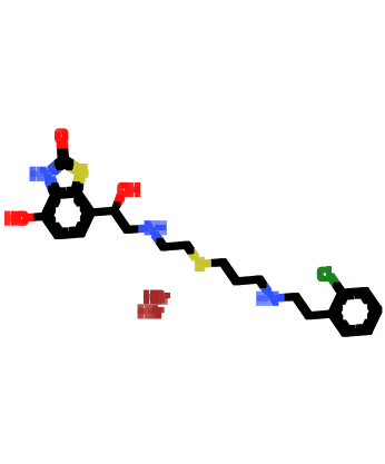 Br.Br.O=c1[nH]c2c(O)ccc([C@@H](O)CNCCSCCCNCCc3ccccc3Cl)c2s1